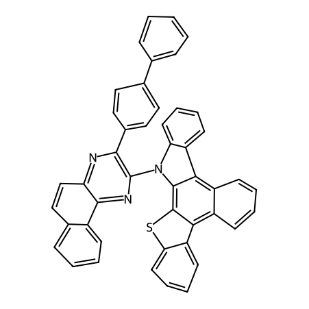 c1ccc(-c2ccc(-c3nc4ccc5ccccc5c4nc3-n3c4ccccc4c4c5ccccc5c5c6ccccc6sc5c43)cc2)cc1